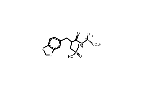 C[C@H](NC(=O)C(Cc1ccc2c(c1)OCO2)CP(=O)(O)O)C(=O)O